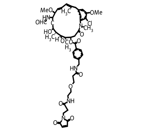 COc1cc2cc(c1Cl)N(C)C(=O)CC(OC(=O)c1ccc(CNC(=O)CCOCCNC(=O)CCN3C(=O)C=CC3=O)cc1)[C@]1(C)O[C@H]1[C@H](C)C(O)CC(NC=O)C(OC)/C=C/C=C(\C)C2